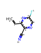 C=Cc1nc(F)cnc1C#N